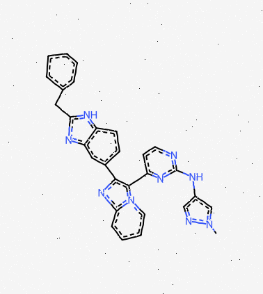 Cn1cc(Nc2nccc(-c3c(-c4ccc5[nH]c(Cc6ccccc6)nc5c4)nc4ccccn34)n2)cn1